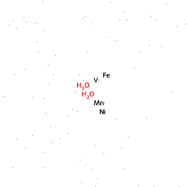 O.O.[Fe].[Mn].[Ni].[V]